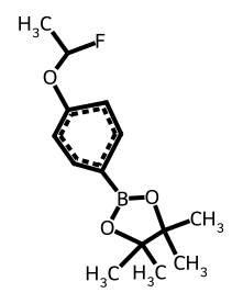 CC(F)Oc1ccc(B2OC(C)(C)C(C)(C)O2)cc1